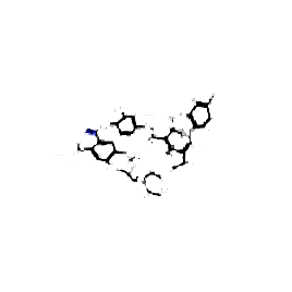 C=Nc1cc(OCCN2CCOCC2)c(OC)cc1/C(=C\C)Oc1ccc(NC(=O)c2c3c(cn(-c4ccc(F)cc4)c2=O)CCO3)cc1F